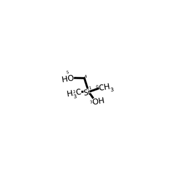 C[Si](C)(O)CO